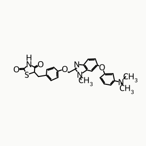 CN(C)c1cccc(Oc2ccc3nc(COc4ccc(CC5SC(=O)NC5=O)cc4)n(C)c3c2)c1